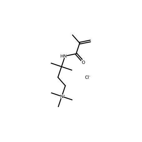 C=C(C)C(=O)NC(C)(C)CC[N+](C)(C)C.[Cl-]